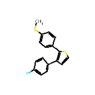 CSc1ccc(-c2sccc2-c2ccc(F)cc2)cc1